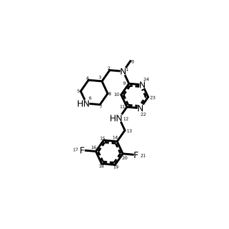 CN(CC1CCNCC1)c1cc(NCc2cc(F)ccc2F)ncn1